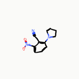 N#Cc1c(N2CCCC2)cccc1[N+](=O)[O-]